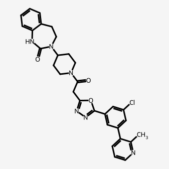 Cc1ncccc1-c1cc(Cl)cc(-c2nnc(CC(=O)N3CCC(N4CCc5ccccc5NC4=O)CC3)o2)c1